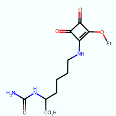 CCOc1c(NCCCCC(NC(N)=O)C(=O)O)c(=O)c1=O